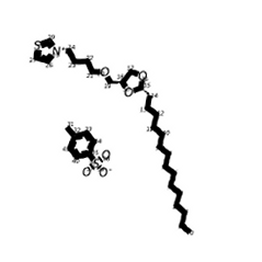 CCCCCCCCCCCCCCC[C@H]1OC[C@H](COCCCC[n+]2ccsc2)O1.Cc1ccc(S(=O)(=O)[O-])cc1